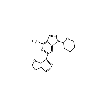 Cc1nc(-c2cncc3c2OCC3)cc2c1cnn2C1CCCCO1